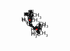 CCNC(=O)c1nnc(-c2cc(C(C)C)c(O)cc2O)n1-c1ccc2c(ccn2CCC2CCN(C(=O)c3ccc(C4(C)OB([C@H](CC(C)C)NC(=O)[C@H](Cc5ccccc5)NC(=O)c5cnccn5)OC4(C)C)cc3)CC2)c1